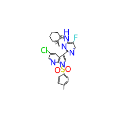 Cc1ccc(S(=O)(=O)n2cc(-c3ncc(F)c(N[C@H]4CCCC[C@@H]4C)n3)c3cc(Cl)cnc32)cc1